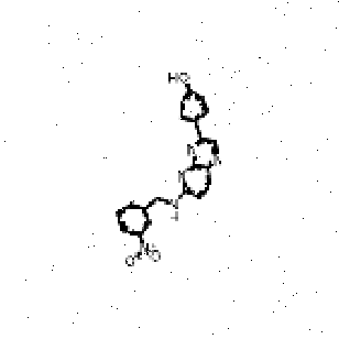 O=[N+]([O-])c1cccc(CNc2ccc3ncc(-c4ccc(O)cc4)nc3n2)c1